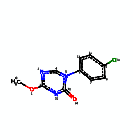 COc1ncn(-c2ccc(Cl)cc2)c(=O)n1